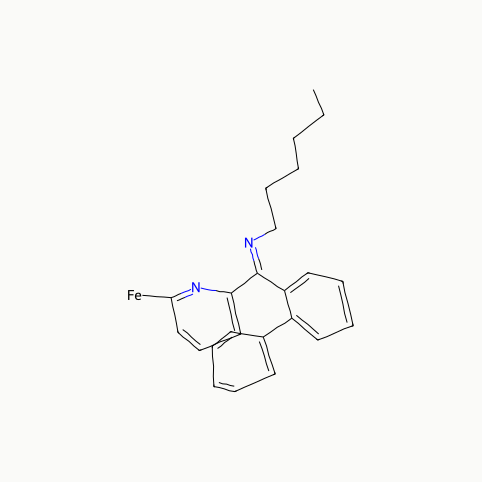 CCCCCCN=C(c1ccc[c]([Fe])n1)c1ccccc1-c1ccccc1